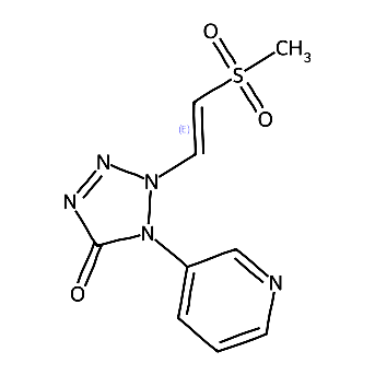 CS(=O)(=O)/C=C/n1nnc(=O)n1-c1cccnc1